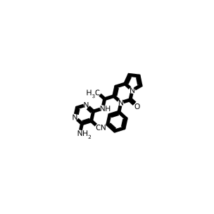 CC(Nc1ncnc(N)c1C#N)c1cc2cccn2c(=O)n1-c1ccccc1